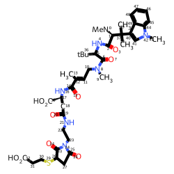 CN[C@H](C(=O)NC(C(=O)N(C)C/C=C(\C)C(=O)N[C@@H](CC(=O)NCCN1C(=O)CC(SCCC(=O)O)C1=O)C(=O)O)C(C)(C)C)C(C)(C)c1cn(C)c2ccccc12